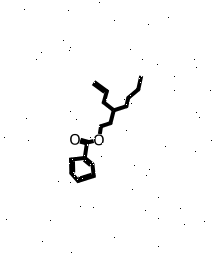 C=CCC(CCCC)CCOC(=O)c1ccccc1